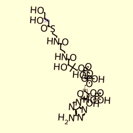 CC(C)(COP(=O)(O)OP(=O)(O)OC[C@H]1O[C@@H](n2cnc3c(N)ncnc32)[C@H](O)[C@@H]1OP(=O)(O)O)C(O)C(=O)NCCC(=O)NCCSC(=O)/C=C(\O)CO